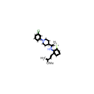 C=C(/C=C/c1cccc(F)c1NC(=C)C1CCN(c2cccc(Cl)c2)CC1)OC